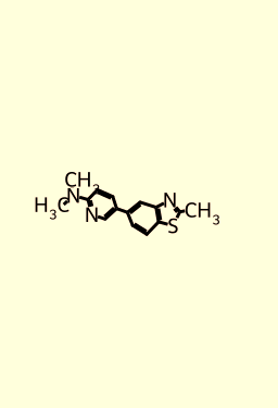 Cc1nc2cc(-c3ccc(N(C)C)nc3)ccc2s1